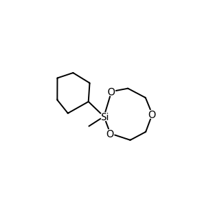 C[Si]1(C2CCCCC2)OCCOCCO1